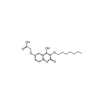 CCCCCCCOc1c(O)c2cc(OCC(=O)O)ccc2oc1=O